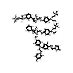 CCN(CC[N+](C)(C)C)c1ccc(N=Nc2scc(-c3ccccc3)[n+]2C)cc1.CCN(CC[N+](C)(C)C)c1ccc(N=Nc2scc(-c3ccccc3)[n+]2C)cc1.COc1ccc(N(CC[n+]2ccc(C)cc2)c2ccc(N=Nc3nccs3)c(C)c2)cc1.F[B-](F)(F)F.F[B-](F)(F)F